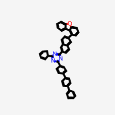 C1=CCC(c2nc(-c3ccc(-c4ccc(-c5ccccc5)cc4)cc3)nc(-c3ccc4cc(-c5cccc6oc7ccccc7c56)ccc4c3)n2)C=C1